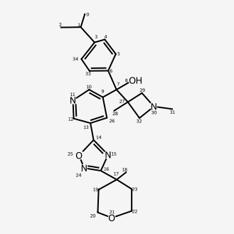 CC(C)c1ccc(C(O)(c2cncc(-c3nc(C4(C)CCOCC4)no3)c2)C2(C)CN(C)C2)cc1